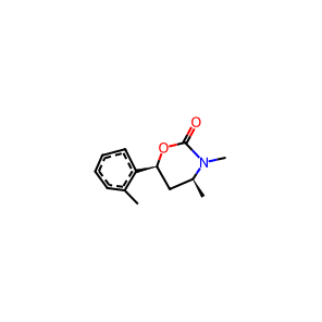 Cc1ccccc1[C@@H]1C[C@H](C)N(C)C(=O)O1